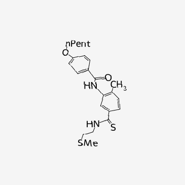 CCCCCOc1ccc(C(=O)Nc2cc(C(=S)NCCSC)ccc2C)cc1